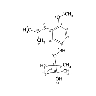 COc1ccc(BOC(C)(C)C(C)(C)O)cc1SC(C)C